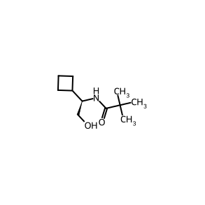 CC(C)(C)C(=O)N[C@@H](CO)C1CCC1